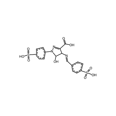 O=C(O)C1=NN(c2ccc(S(=O)(=O)O)cc2)C(O)C1N=Cc1ccc(S(=O)(=O)O)cc1